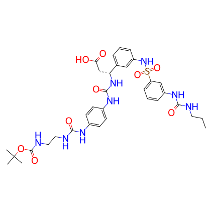 CCCNC(=O)Nc1cccc(S(=O)(=O)Nc2cccc([C@@H](CC(=O)O)NC(=O)Nc3ccc(NC(=O)NCCNC(=O)OC(C)(C)C)cc3)c2)c1